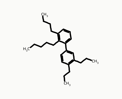 CCCCCc1c(CCCC)cccc1-c1ccc(CCC)c(CCC)c1